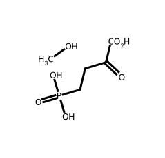 CO.O=C(O)C(=O)CCP(=O)(O)O